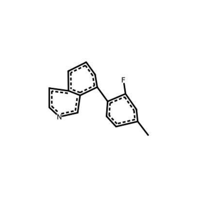 Cc1ccc(-c2cccc3ccncc23)c(F)c1